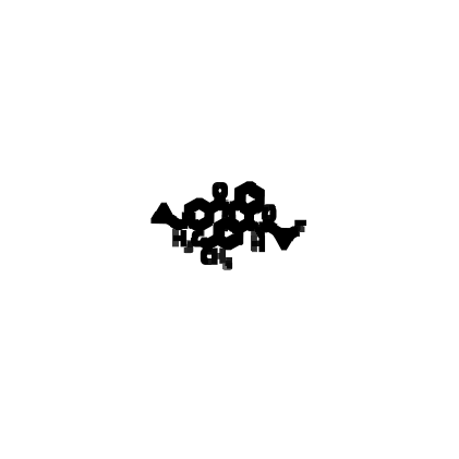 CC(C)c1ccc(C(NC(=O)C2CC2F)c2ccccc2NC(=O)C2CCN(CC3CC3)CC2)cc1